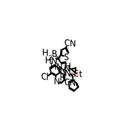 B[C@@](Nc1cc(Cl)c2ncc(C#N)c(N[C@H](CC)c3ccccc3)c2c1)(C1=CN(C2CC2)NN1)c1cc(C#N)cs1